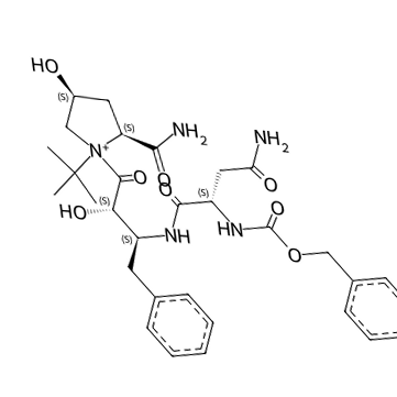 CC(C)(C)[N+]1(C(=O)[C@@H](O)[C@H](Cc2ccccc2)NC(=O)[C@H](CC(N)=O)NC(=O)OCc2ccccc2)C[C@@H](O)C[C@H]1C(N)=O